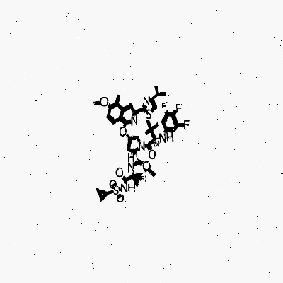 CC[C@@H]1C[C@]1(NC(=O)[C@@H]1C[C@@H](Oc2nc(-c3nc(C(C)C)cs3)cc3c(C)c(OC)ccc23)CN1C(=O)[C@@H](Nc1cc(F)c(F)c(F)c1)C(C)(C)C)C(=O)NS(=O)(=O)C1CC1